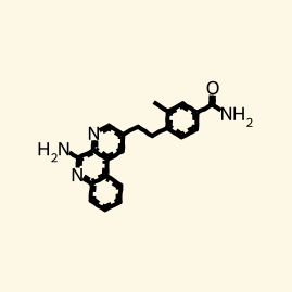 Cc1cc(C(N)=O)ccc1CCc1cnc2c(N)nc3ccccc3c2c1